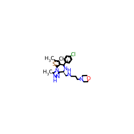 Cc1sc2c(c1C)C(c1ccc(Cl)cc1)=N[C@@H](CNCCCN1CCOCC1)C1=NNC(C)N12